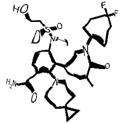 Cc1cc(-c2c(NS(=O)(=O)CCO)ccc(C(N)=O)c2N2CCC3(CC2)CC3)cn(C2=CCC(F)(F)CC2)c1=O